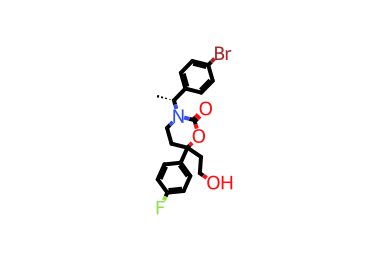 C[C@H](c1ccc(Br)cc1)N1CCC(CCO)(c2ccc(F)cc2)OC1=O